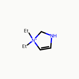 CC[N+]1(CC)C=CNC1